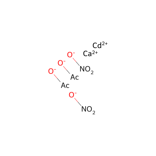 CC(=O)[O-].CC(=O)[O-].O=[N+]([O-])[O-].O=[N+]([O-])[O-].[Ca+2].[Cd+2]